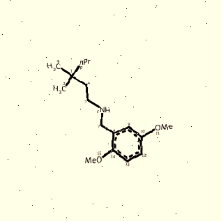 CCCC(C)(C)CCNCc1cc(OC)ccc1OC